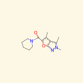 Cc1c(C(=O)N2CCCCC2)oc2nn(C)c(C)c12